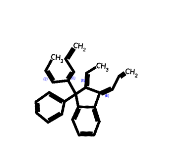 C=C/C=C1\C(=C/C)C(C(/C=C\C)=C/C=C)(c2ccccc2)c2ccccc21